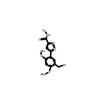 CCCCOc1cc(OCCCC)c(-c2cc(C(=O)NCC)no2)cc1CC(C)C